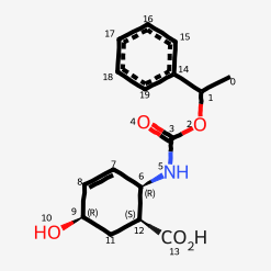 CC(OC(=O)N[C@@H]1C=C[C@H](O)C[C@@H]1C(=O)O)c1ccccc1